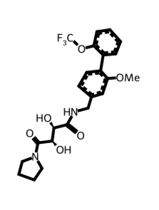 COc1cc(CNC(=O)[C@H](O)[C@@H](O)C(=O)N2CCCC2)ccc1-c1ccccc1OC(F)(F)F